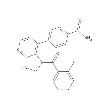 NC(=O)c1ccc(-c2ccnc3c2C(C(=O)c2ccccc2F)CN3)cc1